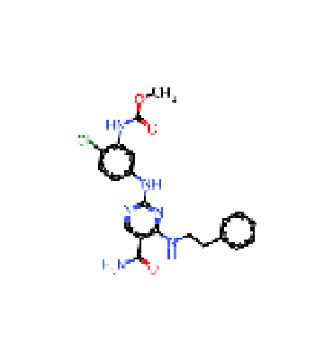 COC(=O)Nc1cc(Nc2ncc(C(N)=O)c(NCCc3ccccc3)n2)ccc1Cl